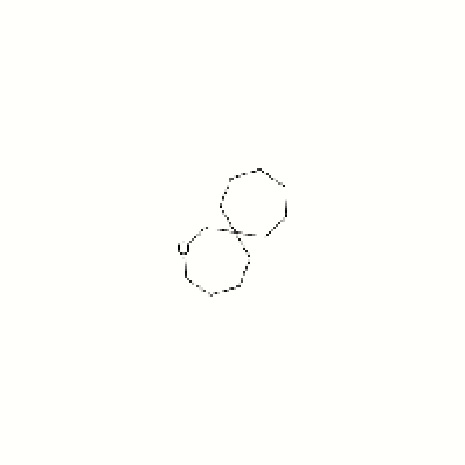 C1CCCC2(CC1)CCCCOC2